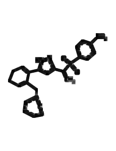 C=C(c1cc(C2=CCCC=C2Cc2ccccc2)[nH]n1)S(=O)(=O)c1ccc([N+](=O)[O-])cc1